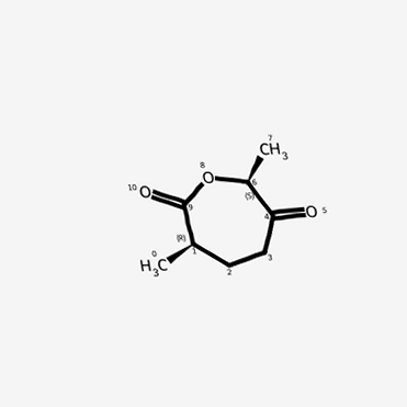 C[C@@H]1CCC(=O)[C@H](C)OC1=O